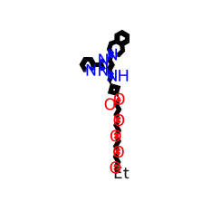 CCOCCOCCOCCOCCC(=O)O[C@H]1C[C@@H](CNc2cc(N3CCc4ccccc4CC3)nc(-c3ccccn3)n2)C1